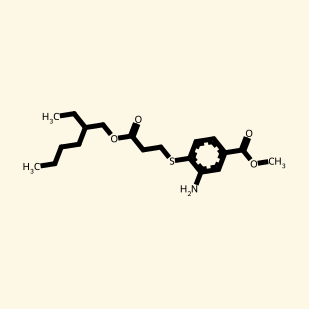 CCCCC(CC)COC(=O)CCSc1ccc(C(=O)OC)cc1N